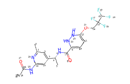 Cc1cc(C(C)NC(=O)C2=CC=C(OCC(F)(F)C(F)F)NN2)cc(NC(=O)C(C)C)n1